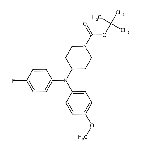 COc1ccc(N(c2ccc(F)cc2)C2CCN(C(=O)OC(C)(C)C)CC2)cc1